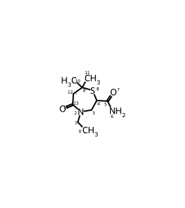 CCN1CC(C(N)=O)SC(C)(C)[CH]C1=O